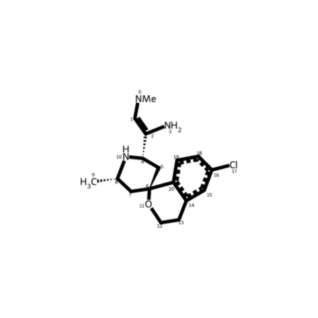 CN/C=C(\N)[C@@H]1C[C@]2(C[C@H](C)N1)OCCc1cc(Cl)ccc12